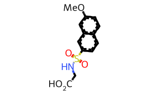 COc1ccc2ccc(S(=O)(=O)NCC(=O)O)cc2c1